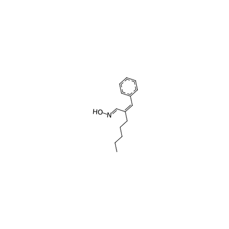 CCCCCC(C=NO)=Cc1ccccc1